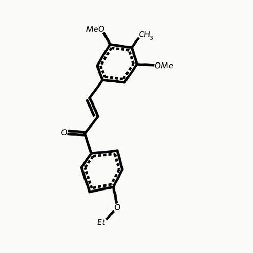 CCOc1ccc(C(=O)C=Cc2cc(OC)c(C)c(OC)c2)cc1